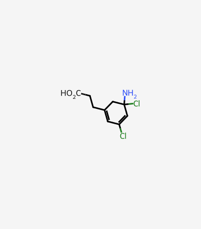 NC1(Cl)C=C(Cl)C=C(CCC(=O)O)C1